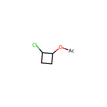 CC(=O)OC1CCC1Cl